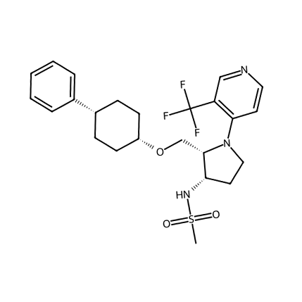 CS(=O)(=O)N[C@H]1CCN(c2ccncc2C(F)(F)F)[C@H]1CO[C@H]1CC[C@@H](c2ccccc2)CC1